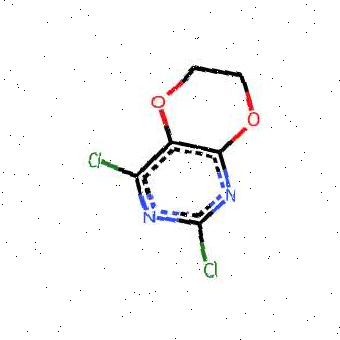 Clc1nc(Cl)c2c(n1)OCCO2